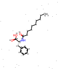 CCCCCCCCCC(=O)N[C@H](Cc1ccccc1)C(=O)O